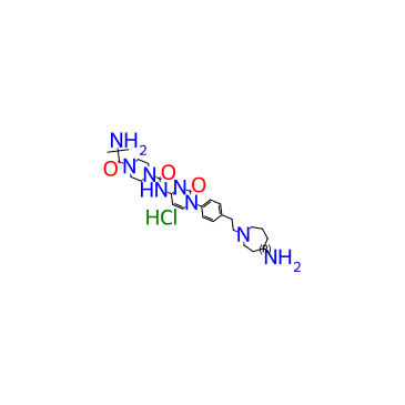 CC(C)(N)C(=O)N1CCN(C(=O)Nc2ccn(-c3ccc(CCN4CCC[C@@H](N)CC4)cc3)c(=O)n2)CC1.Cl